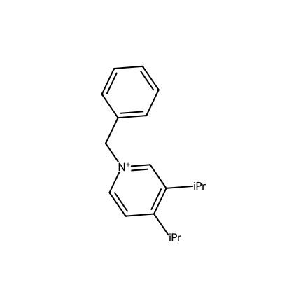 CC(C)c1cc[n+](Cc2ccccc2)cc1C(C)C